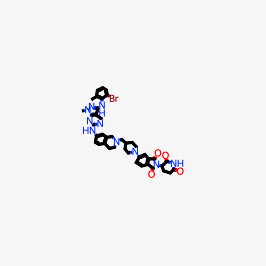 Cc1cccc(Br)c1Nc1nn(C)c2nc(Nc3ccc4c(c3)CN(CC3CCN(c5ccc6c(c5)C(=O)N(C5CCC(=O)NC5=O)C6=O)CC3)CC4)ncc12